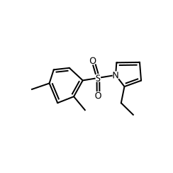 CCc1cccn1S(=O)(=O)c1ccc(C)cc1C